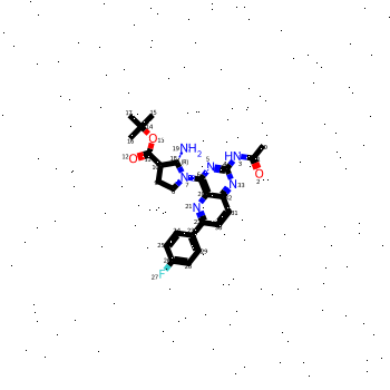 CC(=O)Nc1nc(N2CCC(C(=O)OC(C)(C)C)[C@@H]2N)c2nc(-c3ccc(F)cc3)ccc2n1